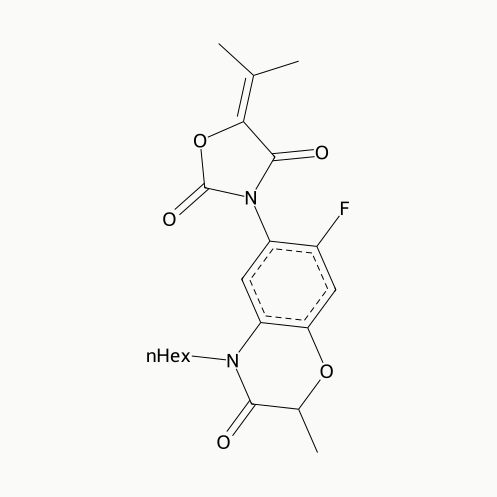 CCCCCCN1C(=O)C(C)Oc2cc(F)c(N3C(=O)OC(=C(C)C)C3=O)cc21